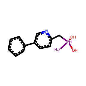 O[PH](O)(P)Cc1ccc(-c2ccccc2)cn1